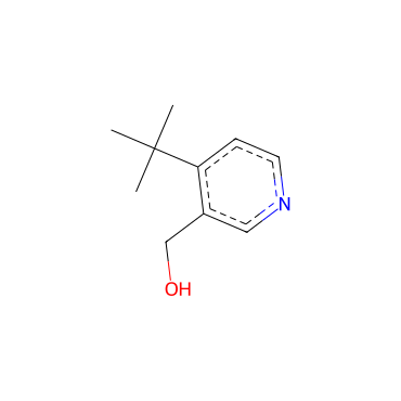 CC(C)(C)c1ccncc1CO